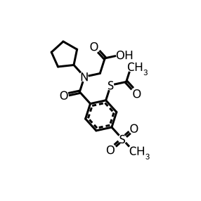 CC(=O)Sc1cc(S(C)(=O)=O)ccc1C(=O)N(CC(=O)O)C1CCCC1